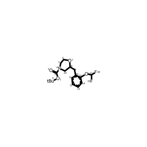 CC(C)(C)OC(=O)N1CCOC(Cc2ccccc2OC(F)F)C1